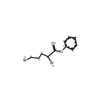 O=C(Oc1ccccc1)C(Br)CCCBr